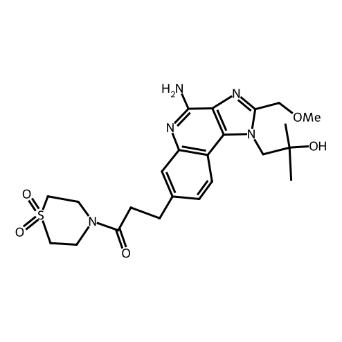 COCc1nc2c(N)nc3cc(CCC(=O)N4CCS(=O)(=O)CC4)ccc3c2n1CC(C)(C)O